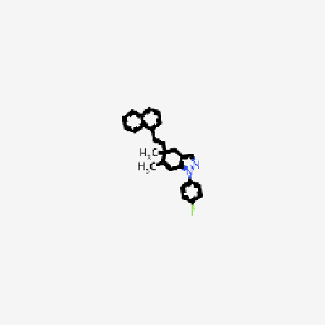 CC1=Cc2c(cnn2-c2ccc(F)cc2)CC1(C)C=Cc1cccc2ccccc12